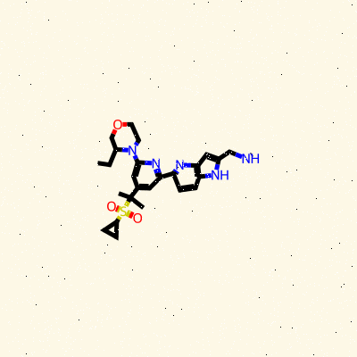 CCC1COCCN1c1cc(C(C)(C)S(=O)(=O)C2CC2)cc(-c2ccc3[nH]c(CNC)cc3n2)n1